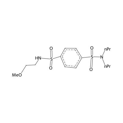 CCCN(CCC)S(=O)(=O)c1ccc(S(=O)(=O)NCCOC)cc1